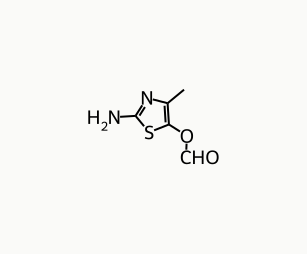 Cc1nc(N)sc1OC=O